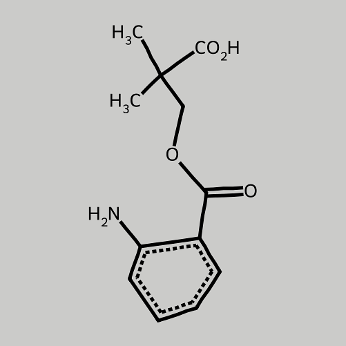 CC(C)(COC(=O)c1ccccc1N)C(=O)O